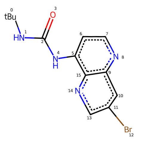 CC(C)(C)NC(=O)Nc1ccnc2cc(Br)cnc12